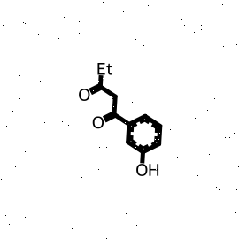 CCC(=O)CC(=O)c1cccc(O)c1